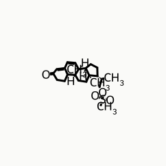 CC(COS(C)(=O)=O)[C@H]1CC[C@H]2[C@@H]3C=CC4=CC(=O)CC[C@]4(C)[C@H]3CC[C@]12C